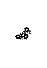 CC(N=Cc1cccc(F)c1O)C(O)(c1ccccc1)c1ccccc1